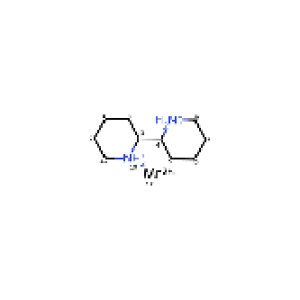 C1CCC(C2CCCC[NH2+]2)[NH2+]C1.[Mn+2]